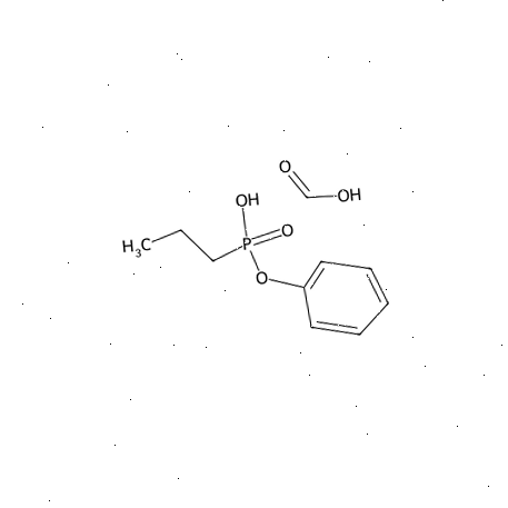 CCCP(=O)(O)Oc1ccccc1.O=CO